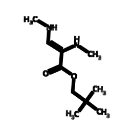 CNC=C(NC)C(=O)OCC(C)(C)C